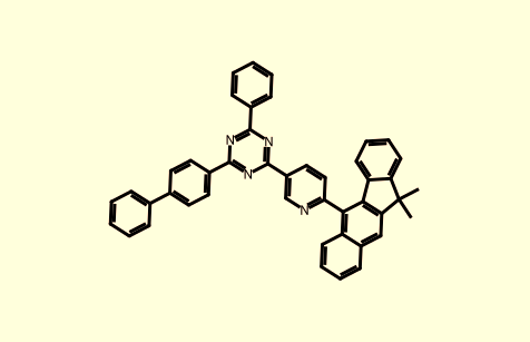 CC1(C)c2ccccc2-c2c1cc1ccccc1c2-c1ccc(-c2nc(-c3ccccc3)nc(-c3ccc(-c4ccccc4)cc3)n2)cn1